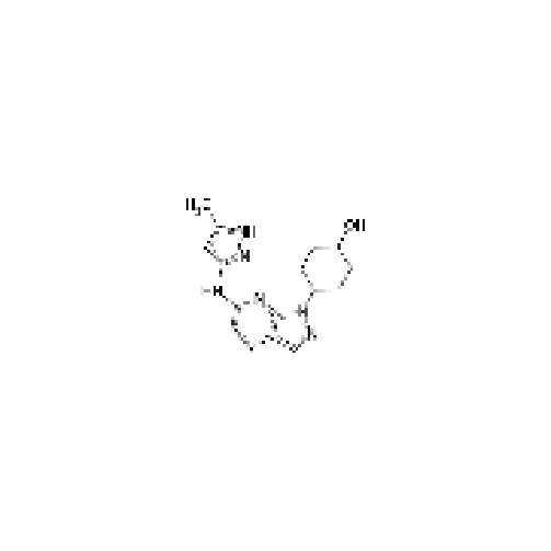 Cc1cc(Nc2cnc3cnn(C4CCC(O)CC4)c3n2)n[nH]1